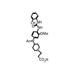 COc1cc(N(C(C)=O)C2CCN(CCC(=O)O)CC2)ccc1NC(=O)Nc1ccccc1C